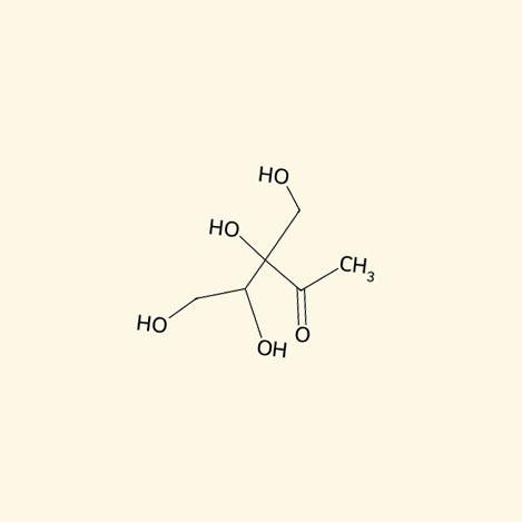 CC(=O)C(O)(CO)C(O)CO